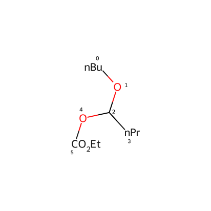 CCCCOC(CCC)OC(=O)OCC